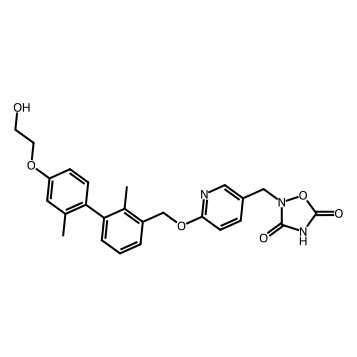 Cc1cc(OCCO)ccc1-c1cccc(COc2ccc(Cn3oc(=O)[nH]c3=O)cn2)c1C